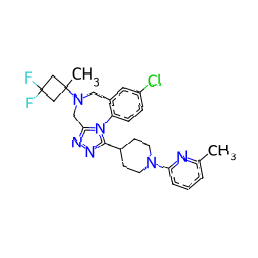 Cc1cccc(N2CCC(c3nnc4n3-c3ccc(Cl)cc3CN(C3(C)CC(F)(F)C3)C4)CC2)n1